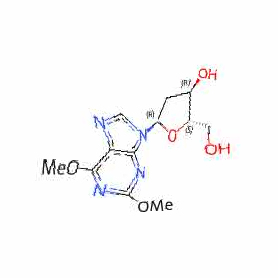 COc1nc(OC)c2ncn([C@H]3C[C@@H](O)[C@H](CO)O3)c2n1